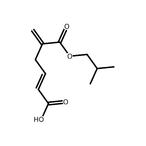 C=C(CC=CC(=O)O)C(=O)OCC(C)C